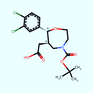 CC(C)(C)OC(=O)N1CCO[C@@H](c2ccc(Cl)c(Cl)c2)[C@H](CC(=O)O)C1